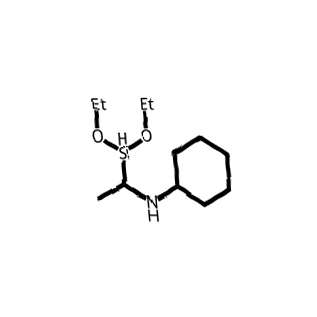 CCO[SiH](OCC)C(C)NC1CCCCC1